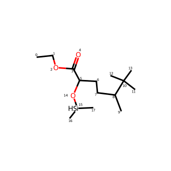 CCOC(=O)C(CCC(C)C(C)(C)C)O[SiH](C)C